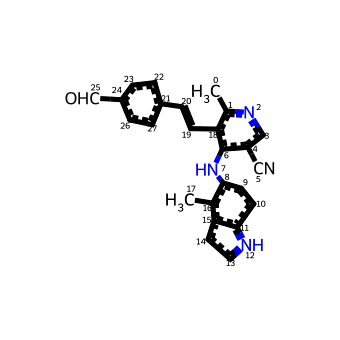 Cc1ncc(C#N)c(Nc2ccc3[nH]ccc3c2C)c1C=Cc1ccc(C=O)cc1